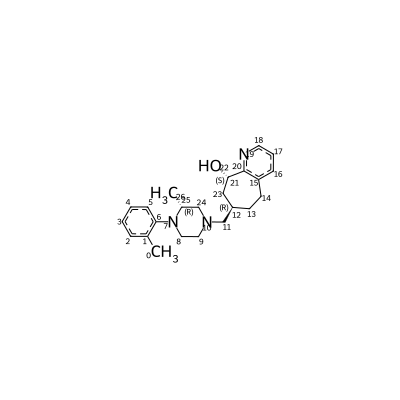 Cc1ccccc1N1CCN(C[C@@H]2CCc3cccnc3[C@@H](O)C2)C[C@H]1C